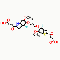 COc1cc2nc(C(=O)CCC(=O)O)ccc2c(F)c1OCCCOc1c(OC)cc2sc(C(=O)CCC(=O)O)cc2c1F